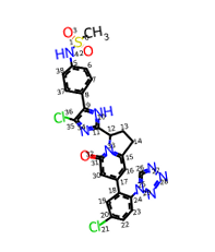 CS(=O)(=O)Nc1ccc(-c2[nH]c(C3CCc4cc(-c5cc(Cl)ccc5-n5cnnn5)cc(=O)n43)nc2Cl)cc1